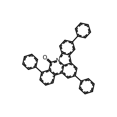 O=c1c2c(-c3ccccc3)cccc2c2cc(-c3ccccc3)cc3c4cc(-c5ccccc5)ccc4n1c23